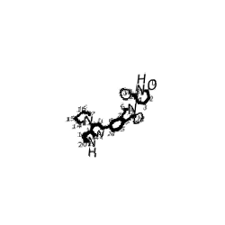 O=C1CCC(N2Cc3cc(-c4cc(N5CCCC5)c5cc[nH]c5n4)ccc3C2=O)C(=O)N1